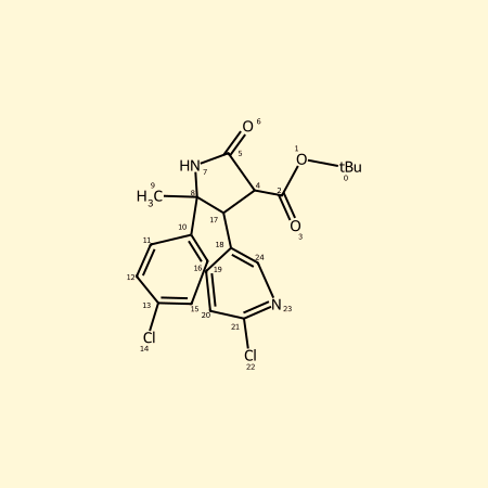 CC(C)(C)OC(=O)C1C(=O)NC(C)(c2ccc(Cl)cc2)C1c1ccc(Cl)nc1